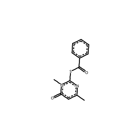 Cc1cc(=O)n(C)c(SC(=O)c2ccccc2)n1